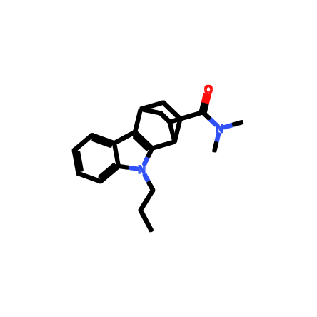 CCCn1c2c(c3ccccc31)C1CCC2C(C(=O)N(C)C)C1